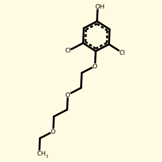 CCOCCOCCOc1c(Cl)cc(O)cc1Cl